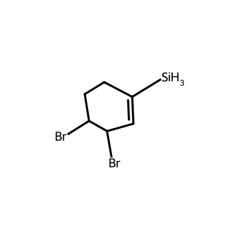 [SiH3]C1=CC(Br)C(Br)CC1